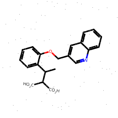 CC(c1ccccc1OCc1cnc2ccccc2c1)C(C(=O)O)C(=O)O